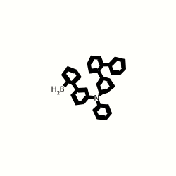 Bc1ccccc1-c1cccc(N(c2ccccc2)c2cccc(-c3ccccc3-c3ccccc3)c2)c1